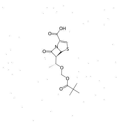 C[C@@H](OCOC(=O)C(C)(C)C)[C@H]1C(=O)N2C(C(=O)O)=CSC12